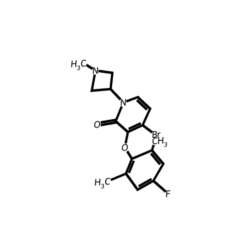 Cc1cc(F)cc(C)c1Oc1c(Br)ccn(C2CN(C)C2)c1=O